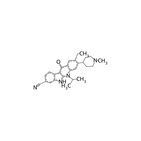 CCc1cc2c(=O)c3c4ccc(C#N)cc4[nH]c3n(C(C)C)c2cc1C1CCN(C)CC1